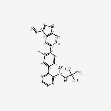 CC(C)(C)N[S+]([O-])c1ccccc1-c1ccc(-c2cnc3[nH]cc(C=O)c3c2)c(F)c1